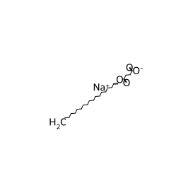 C=CCCCCCCCCCCCCCCCC=COC(=O)CCC(=O)[O-].[Na+]